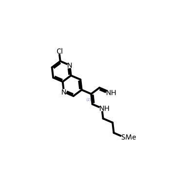 CSCCCN/C=C(\C=N)c1cnc2ccc(Cl)nc2c1